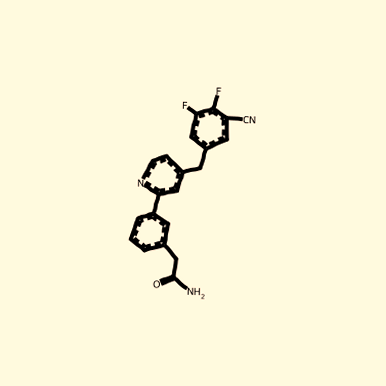 N#Cc1cc(Cc2ccnc(-c3cccc(CC(N)=O)c3)c2)cc(F)c1F